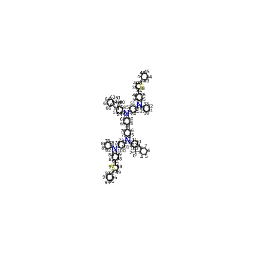 CC1(C)c2ccccc2-c2ccc(N(c3ccc(-c4ccc(N(c5ccc(N(c6ccccc6)c6ccc(-c7ccc(-c8ccccc8)s7)cc6)cc5)c5ccc6c(c5)C(C)(C)c5ccccc5-6)cc4)cc3)c3ccc(N(c4ccccc4)c4ccc(-c5ccc(-c6ccccc6)s5)cc4)cc3)cc21